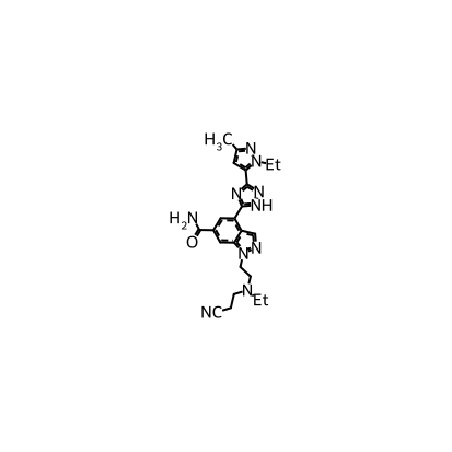 CCN(CCC#N)CCn1ncc2c(-c3nc(-c4cc(C)nn4CC)n[nH]3)cc(C(N)=O)cc21